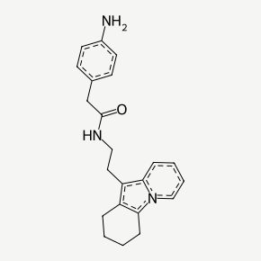 Nc1ccc(CC(=O)NCCc2c3c(n4ccccc24)CCCC3)cc1